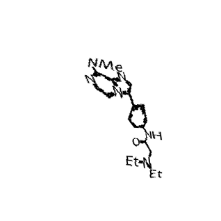 CCN(CC)CC(=O)Nc1ccc(-c2cnc3c(NC)nccn23)cc1